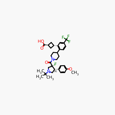 COc1ccc([C@@H]2CN(C(C)(C)C)C[C@@]2(F)C(=O)N2CCC(c3ccc(C(F)(F)F)cc3[C@H]3C[C@H](C(=O)O)C3)CC2)cc1